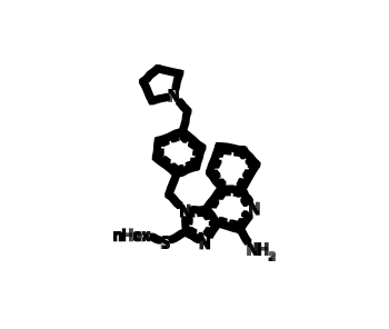 CCCCCCSc1nc2c(N)nc3ccccc3c2n1Cc1ccc(CN2CCCC2)cc1